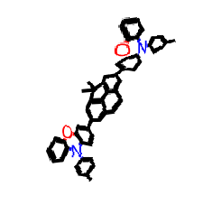 Cc1ccc(N2c3ccccc3Oc3cc(-c4cc5c6c(ccc7cc(-c8ccc9c(c8)Oc8ccccc8N9c8ccc(C)cc8)cc(c76)C5(C)C)c4)ccc32)cc1